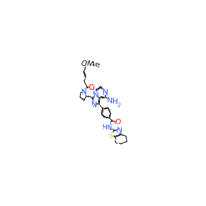 COCC=CCC(=O)N1CCCC1c1nc(-c2ccc(C(=O)Nc3nc4c(s3)CCCC4)cc2)c2c(N)nccn12